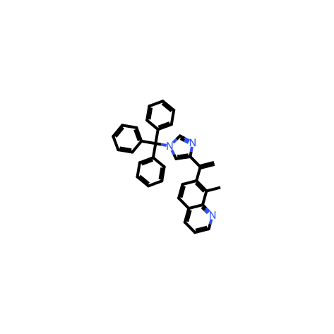 C=C(c1cn(C(c2ccccc2)(c2ccccc2)c2ccccc2)cn1)c1ccc2cccnc2c1C